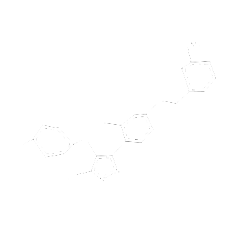 CCc1ccc(Oc2c(-c3ccc(OCc4cccc(OC)c4)cc3O)n[nH]c2C(F)(F)F)cc1